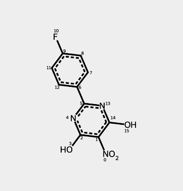 O=[N+]([O-])c1c(O)nc(-c2ccc(F)cc2)nc1O